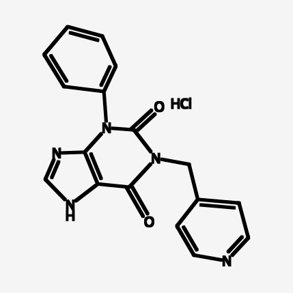 Cl.O=c1c2[nH]cnc2n(-c2ccccc2)c(=O)n1Cc1ccncc1